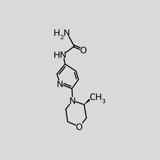 C[C@H]1COCCN1c1ccc(NC(N)=O)cn1